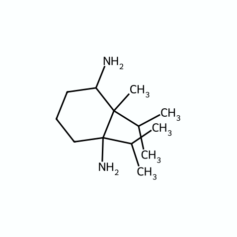 CC(C)C1(N)CCCC(N)C1(C)C(C)C